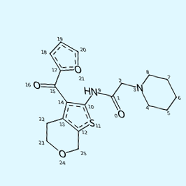 O=C(CN1CCCCC1)Nc1sc2c(c1C(=O)c1ccco1)CCOC2